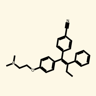 CC/C(=C(/c1ccc(C#N)cc1)c1ccc(OCCN(C)C)cc1)c1ccccc1